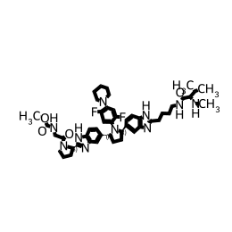 CNC(C(=O)NCCCCc1nc2cc([C@H]3CC[C@H](c4ccc5[nH]c([C@@H]6CCCN6C(=O)CNC(=O)OC)nc5c4)N3c3cc(F)c(N4CCCCC4)cc3F)ccc2[nH]1)C(C)C